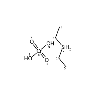 CC[SiH2]CC.[O]=[Cr](=[O])([OH])[OH]